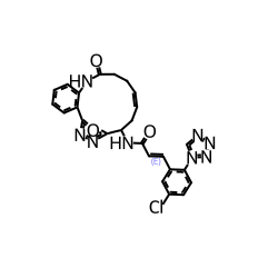 O=C(/C=C/c1cc(Cl)ccc1-n1cnnn1)NC1CC=CCCC(=O)Nc2ccccc2-c2nnc1o2